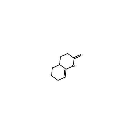 O=C1CCC2CCCC=C2N1